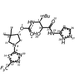 CCCC[C@H](NC(=O)O[C@@H]1CN(c2nnc(C(F)(F)F)s2)CC1(C)C)C(O)C(=O)Nc1ccn[nH]1